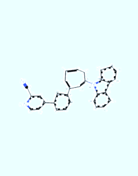 N#Cc1cc(-c2cccc(C3=CC=CCC(n4c5ccccc5c5ccccc54)=C3)c2)ccn1